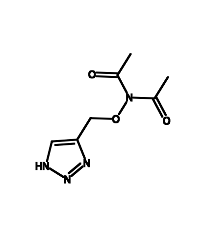 CC(=O)N(OCc1c[nH]nn1)C(C)=O